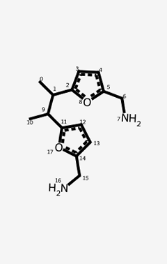 CC(c1ccc(CN)o1)C(C)c1ccc(CN)o1